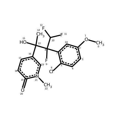 COc1ccc(Cl)c(C(F)(C(F)F)C(C)(O)c2ccc(=O)n(C)c2)c1